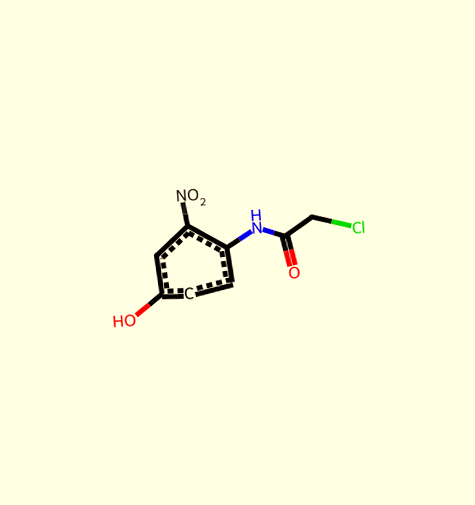 O=C(CCl)Nc1ccc(O)cc1[N+](=O)[O-]